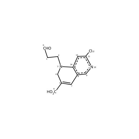 O=CCCN1CC(C(=O)O)=Cc2cnc(Cl)cc21